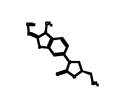 CON=c1sc2cc(N3C[C@@H](CN)OC3=O)ccc2n1C